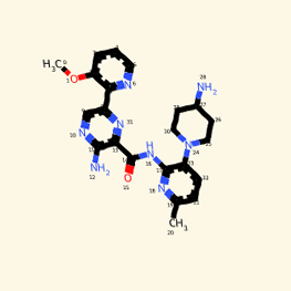 COc1cccnc1-c1cnc(N)c(C(=O)Nc2nc(C)ccc2N2CCC(N)CC2)n1